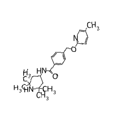 Cc1ccc(OCc2ccc(C(=O)NC3CC(C)(C)NC(C)(C)C3)cc2)nc1